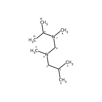 CC(C)CN(C)CN(C)C(C)C